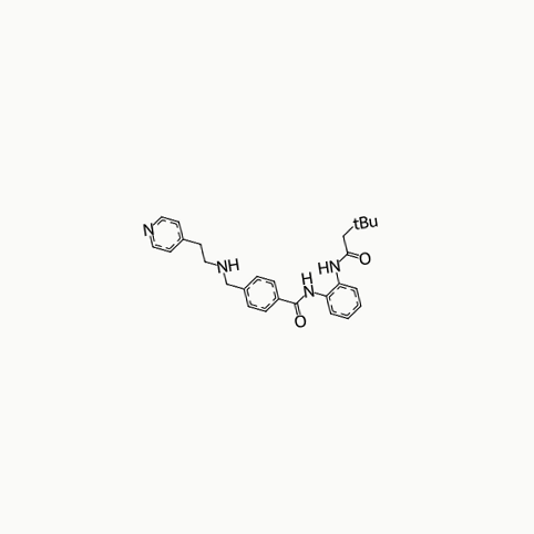 CC(C)(C)CC(=O)Nc1ccccc1NC(=O)c1ccc(CNCCc2ccncc2)cc1